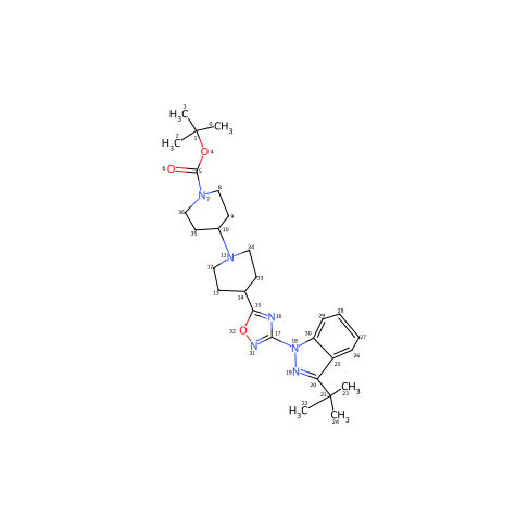 CC(C)(C)OC(=O)N1CCC(N2CCC(c3nc(-n4nc(C(C)(C)C)c5ccccc54)no3)CC2)CC1